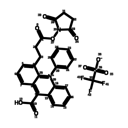 O=C(CCc1cccc2c(C(=O)O)c3ccccc3[n+](-c3ccccc3)c12)ON1C(=O)CCC1=O.O=S(=O)([O-])C(F)(F)F